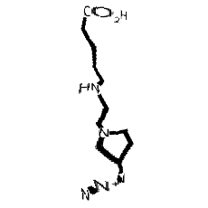 [N-]=[N+]=NC1CCN(CCNCCCCC(=O)O)C1